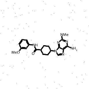 CNc1nc(N)c2ncn(C3CCC(C(=O)Nc4cccc(OC)c4)CC3)c2n1